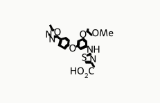 COCC(C)Oc1cc(Nc2nc(CC(=O)O)cs2)cc(Oc2ccc(-c3nnc(C)o3)cc2)c1